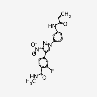 C=CC(=O)Nc1cccc(-n2cc(-c3ccc(C(=O)NC)c(F)c3)c([N+](=O)[O-])n2)c1